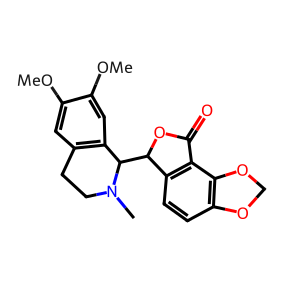 COc1cc2c(cc1OC)C(C1OC(=O)c3c1ccc1c3OCO1)N(C)CC2